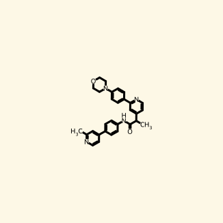 Cc1cc(-c2ccc(NC(=O)C(C)c3ccnc(-c4ccc(N5CCOCC5)cc4)c3)cc2)ccn1